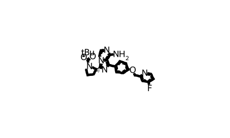 CC(C)(C)OC(=O)N1CCC[C@H]1c1nc(-c2ccc(OCc3cc(F)ccn3)cc2)c2c(N)nccn12